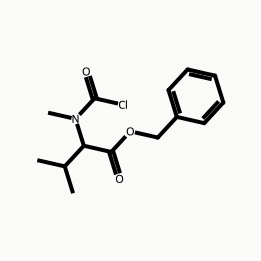 CC(C)C(C(=O)OCc1ccccc1)N(C)C(=O)Cl